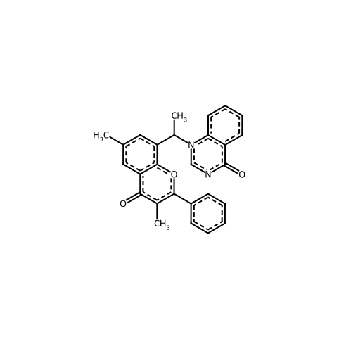 Cc1cc(C(C)n2cnc(=O)c3ccccc32)c2oc(-c3ccccc3)c(C)c(=O)c2c1